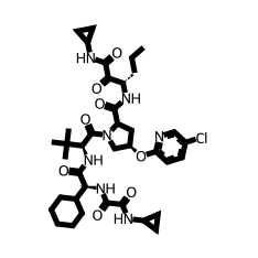 CCC[C@H](NC(=O)C1C[C@@H](Oc2ccc(Cl)cn2)CN1C(=O)[C@@H](NC(=O)[C@@H](NC(=O)C(=O)NC1CC1)C1CCCCC1)C(C)(C)C)C(=O)C(=O)NC1CC1